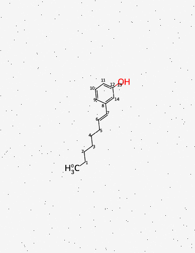 CCCCCC/C=C/c1[c]ccc(O)c1